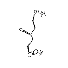 O=C(O)CC[P](=O)CCC(=O)O